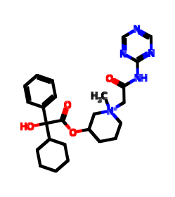 C[N+]1(CC(=O)Nc2ncncn2)CCCC(OC(=O)C(O)(c2ccccc2)C2CCCCC2)C1